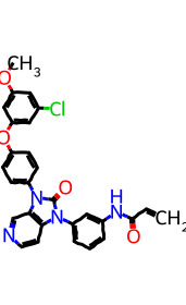 C=CC(=O)Nc1cccc(-n2c(=O)n(-c3ccc(Oc4cc(Cl)cc(OC)c4)cc3)c3cnccc32)c1